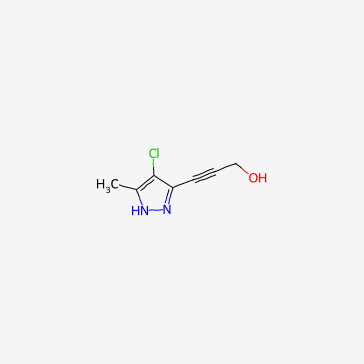 Cc1[nH]nc(C#CCO)c1Cl